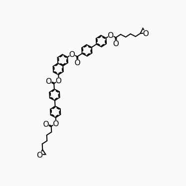 O=C(CCCCC1CO1)Oc1ccc(-c2ccc(C(=O)Oc3ccc4ccc(OC(=O)c5ccc(-c6ccc(OC(=O)CCCCC7CO7)cc6)cc5)cc4c3)cc2)cc1